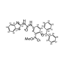 COC(=O)c1cc(NC(=O)Nc2nc3ccccc3s2)ccc1OC(c1ccccc1)c1ccccc1